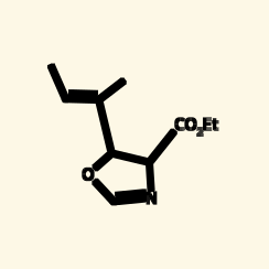 CC=C(C)C1OC=NC1C(=O)OCC